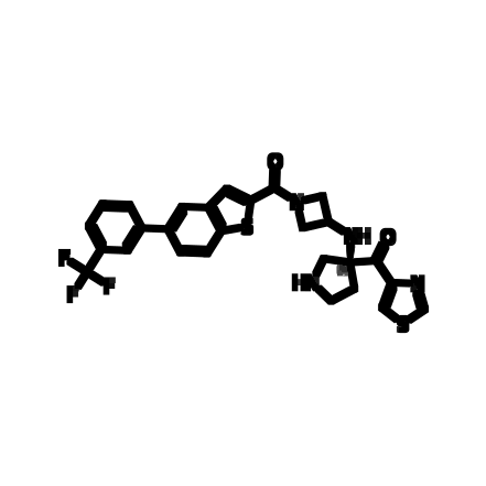 O=C(c1cc2cc(-c3cccc(C(F)(F)F)c3)ccc2s1)N1CC(N[C@@]2(C(=O)c3cscn3)CCNC2)C1